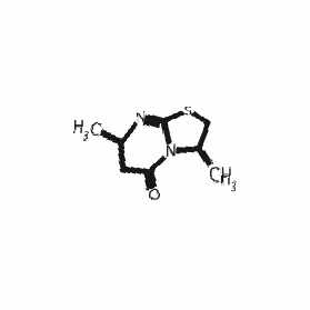 CC1CC(=O)N2C(=N1)SCC2C